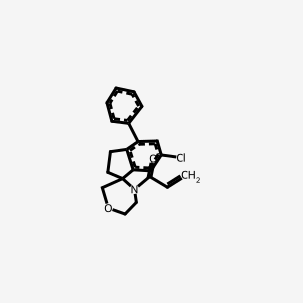 C=CC(=O)N1CCOCC12CCc1c(-c3ccccc3)cc(Cl)cc12